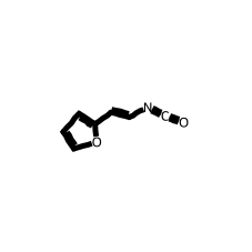 O=C=NC=Cc1ccco1